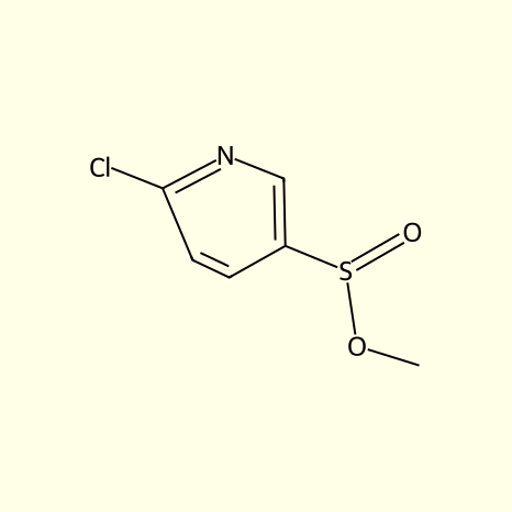 COS(=O)c1ccc(Cl)nc1